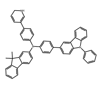 CC1(C)c2ccccc2-c2ccc(N(c3ccc(C4=CNCC=C4)cc3)c3ccc(-c4ccc5c(c4)c4ccccc4n5-c4ccccc4)cc3)cc21